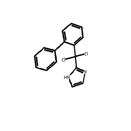 ClC(Cl)(c1ncc[nH]1)c1ccccc1-c1ccccc1